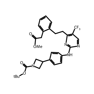 COC(=O)Cc1ccccc1CCc1nc(Nc2ccc(C3CN(C(=O)OC(C)(C)C)C3)cc2)ncc1C(F)(F)F